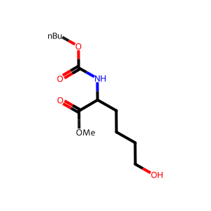 CCCCOC(=O)NC(CCCCO)C(=O)OC